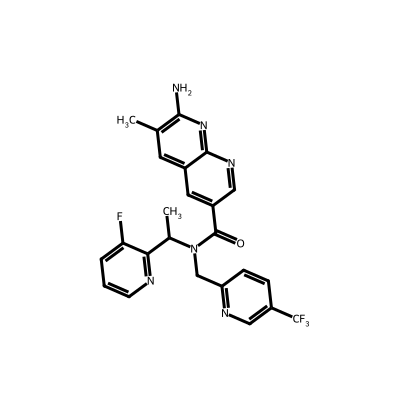 Cc1cc2cc(C(=O)N(Cc3ccc(C(F)(F)F)cn3)C(C)c3ncccc3F)cnc2nc1N